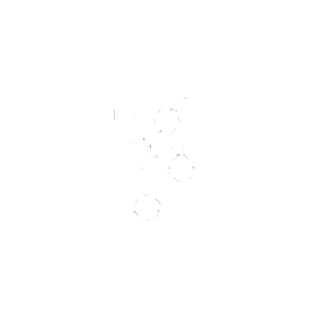 Cc1cc(F)cc(C)c1NC(=O)C1(C(c2ccccc2)c2ccccc2)CCC1